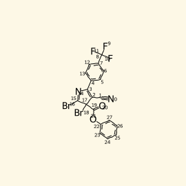 N#CC1=C(c2ccc(C(F)(F)F)cc2)N=C(Br)C1(Br)C(=O)Oc1ccccc1